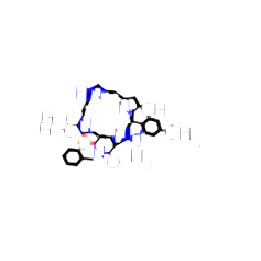 Cc1cc(C)c(-c2c3nc(cc4ccc(cc5nc(c6c7[nH]c2cc7C(=O)N(Cc2ccccc2)C6=O)CC5(C)C)[nH]4)C=C3)c(C)c1